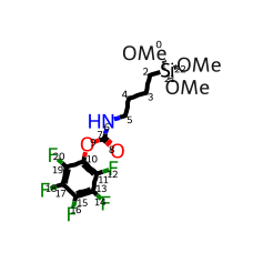 CO[Si](CCCCNC(=O)Oc1c(F)c(F)c(F)c(F)c1F)(OC)OC